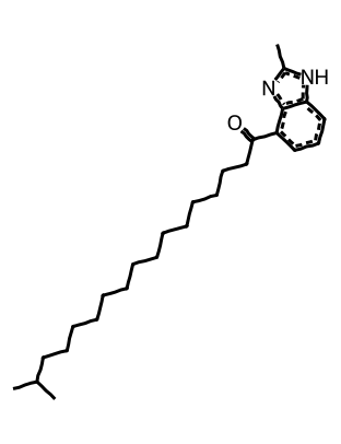 Cc1nc2c(C(=O)CCCCCCCCCCCCCCC(C)C)cccc2[nH]1